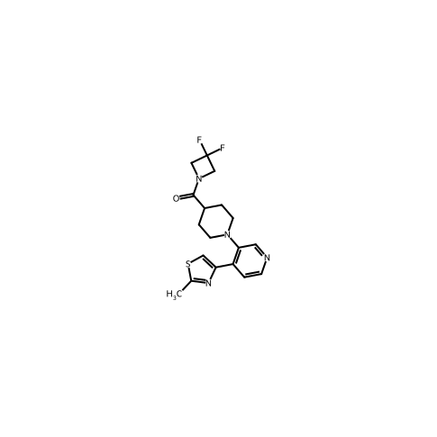 Cc1nc(-c2ccncc2N2CCC(C(=O)N3CC(F)(F)C3)CC2)cs1